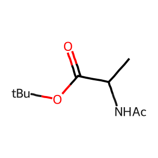 CC(=O)NC(C)C(=O)OC(C)(C)C